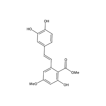 COC(=O)c1c(O)cc(OC)cc1C=Cc1ccc(O)c(O)c1